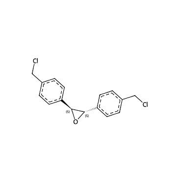 ClCc1ccc([C@@H]2O[C@H]2c2ccc(CCl)cc2)cc1